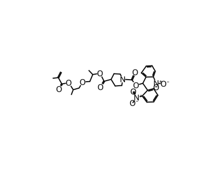 C=C(C)C(=O)OC(C)COCC(C)OC(=O)C1CCN(C(=O)OC(c2ccccc2[N+](=O)[O-])c2ccccc2[N+](=O)[O-])CC1